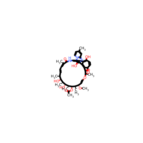 CO[C@H]1/C=C/O[C@@]2(C)OC3C#CC(O)=c4c(O)c(c5c(nc6cc(C)ccn65)c4=C3C2=O)NC(=O)/C(C)=C\C=C\[C@H](C)[C@H](O)[C@@H](C)[C@@H](O)[C@@H](C)[C@H](OC(C)=O)[C@@H]1C